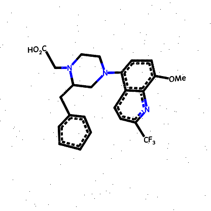 COc1ccc(N2CCN(CC(=O)O)C(Cc3ccccc3)C2)c2ccc(C(F)(F)F)nc12